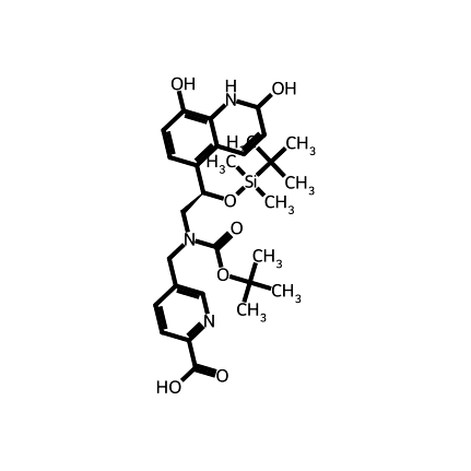 CC(C)(C)OC(=O)N(Cc1ccc(C(=O)O)nc1)C[C@H](O[Si](C)(C)C(C)(C)C)c1ccc(O)c2c1C=CC(O)N2